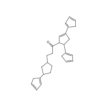 O=C(CCC1CCC(C2=CC=CC2)C1)C1C=C(C2=CC=CC2)CC1C1=CC=CC1